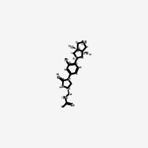 CC(=O)NC[C@H]1CN(c2ccc(N3C[C@H]4CNC[C@H]4C3)c(F)c2)C(=O)O1